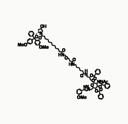 COc1ccc(C(OC[C@@H]2C[C@@H](O)CN2C(=O)CCCCCCCCCCC(=O)NCOCCC(=O)NCCCCCC(=O)NCC(COC2OC(Cn3cc(-c4cccc(OC)c4)nn3)C(OC(=O)c3ccccc3)C(OC(=O)c3ccccc3)C2NC(C)=O)OC(=O)c2ccccc2)(c2ccccc2)c2ccc(OC)cc2)cc1